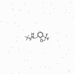 CC(C)(C)SNCc1cccc2c1OCC2(F)F